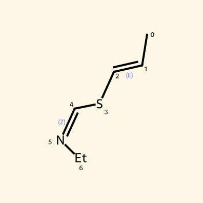 C/C=C/S/C=N\CC